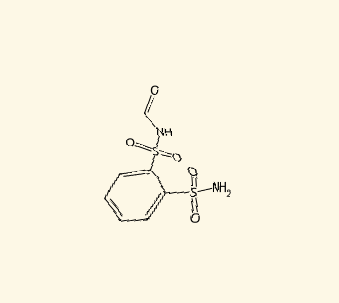 NS(=O)(=O)c1ccccc1S(=O)(=O)NC=O